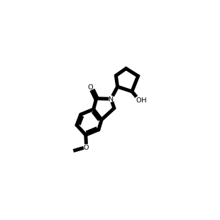 COc1ccc2c(c1)CN(C1CCCC1O)C2=O